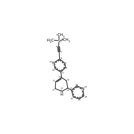 CS(C)(C)C#Cc1ccc(C2=CCNC(c3cccnc3)C2)cn1